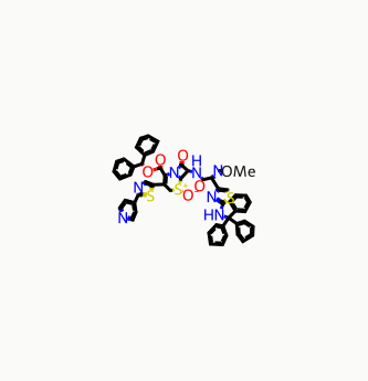 CON=C(C(=O)NC1C(=O)N2C(C(=O)OC(c3ccccc3)c3ccccc3)=C(c3cnc(-c4ccncc4)s3)C[S+]([O-])C12)c1csc(NC(c2ccccc2)(c2ccccc2)c2ccccc2)n1